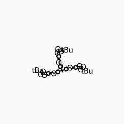 CC(C)(C)OC(=O)Oc1ccc(COc2ccc(C(C)(c3ccc(OCc4ccc(OC(=O)OC(C)(C)C)cc4)cc3)c3ccc(OCc4ccc(OC(=O)OC(C)(C)C)cc4)cc3)cc2)cc1